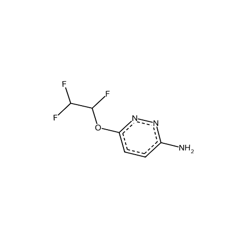 Nc1ccc(OC(F)C(F)F)nn1